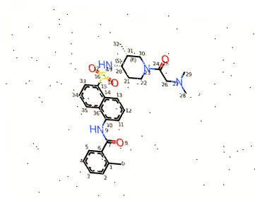 Cc1ccccc1C(=O)Nc1cccc2c(S(=O)(=O)N[C@H]3CCN(C(=O)CN(C)C)C[C@H]3C)cccc12